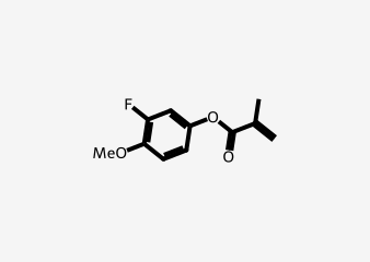 C=C(C)C(=O)Oc1ccc(OC)c(F)c1